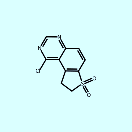 O=S1(=O)CCc2c1ccc1ncnc(Cl)c21